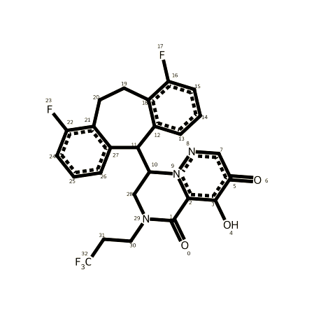 O=C1c2c(O)c(=O)cnn2C(C2c3cccc(F)c3CCc3c(F)cccc32)CN1CCC(F)(F)F